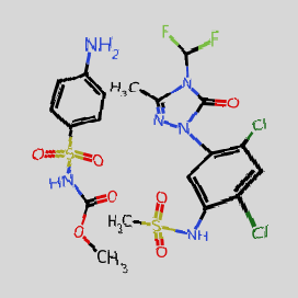 COC(=O)NS(=O)(=O)c1ccc(N)cc1.Cc1nn(-c2cc(NS(C)(=O)=O)c(Cl)cc2Cl)c(=O)n1C(F)F